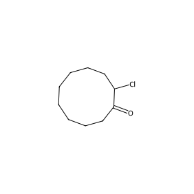 O=C1CCCCCCCCC1Cl